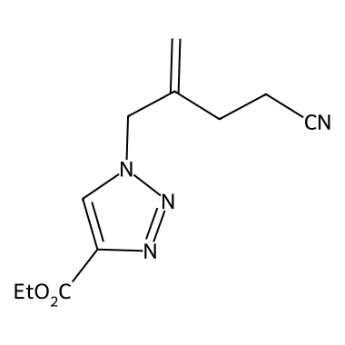 C=C(CCC#N)Cn1cc(C(=O)OCC)nn1